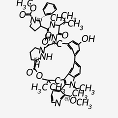 CCn1c(-c2cccnc2[C@H](C)OC)c2c3cc(ccc31)-c1cc(O)cc(c1)C[C@H](NC(=O)C(C(C)C)N(C)C(=O)C1CCN(C(=O)OC)[C@@H]1c1ccccc1)C(=O)N1CCC[C@H](N1)C(=O)OCC(C)(C)C2